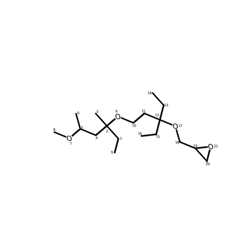 CCC(C)(CC(C)OC)OCCC(CC)(CC)OCC1CO1